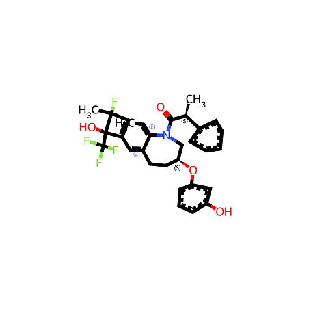 C/C=C1\C(=C/C2=CC(C)(F)C2(O)C(F)(F)F)CC[C@H](Oc2cccc(O)c2)CN1C(=O)[C@@H](C)c1ccccc1